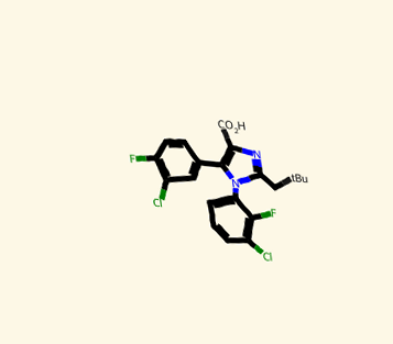 CC(C)(C)Cc1nc(C(=O)O)c(-c2ccc(F)c(Cl)c2)n1-c1cccc(Cl)c1F